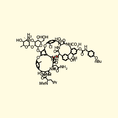 CCCCOc1ccc(NC(=O)Oc2cc(O)c3c(c2)[C@@H](C(=O)O)NC(=O)[C@H]2NC(=O)[C@H](NC(=O)[C@@H]4NC(=O)[C@H](CC(N)=O)NC(=O)[C@H](NC(=O)[C@@H](CC(C)C)NC)[C@H](O)c5ccc(c(C)c5)Oc5cc4cc(c5O[C@@H]4O[C@H](CO)[C@@H](O)[C@H](O)[C@H]4O[C@H]4C[C@](C)(N)[C@H](O)[C@H](C)O4)Oc4ccc(cc4Cl)[C@H]2O)c2ccc(O)c-3c2)cc1